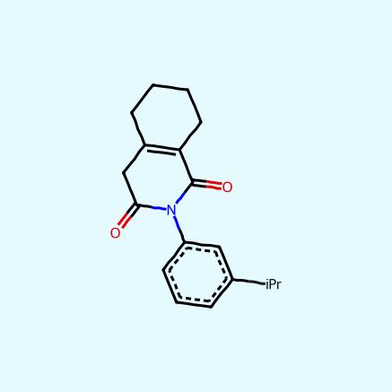 CC(C)c1cccc(N2C(=O)CC3=C(CCCC3)C2=O)c1